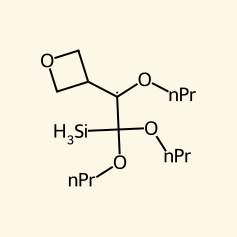 CCCO[C](C1COC1)C([SiH3])(OCCC)OCCC